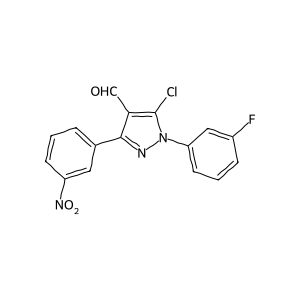 O=Cc1c(-c2cccc([N+](=O)[O-])c2)nn(-c2cccc(F)c2)c1Cl